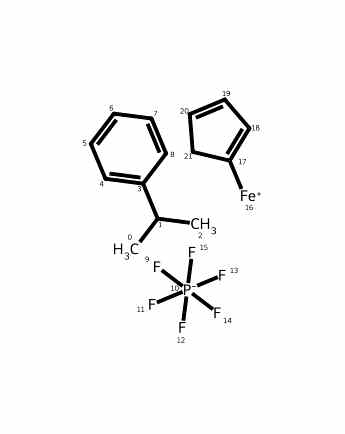 CC(C)c1ccccc1.F[P-](F)(F)(F)(F)F.[Fe+][C]1=CC=CC1